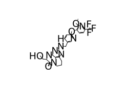 COc1nc(C(F)(F)F)ccc1Oc1ccc(CNc2nc3c4c(n2)N(C)C(CO)C(=O)N4CCC3)cn1